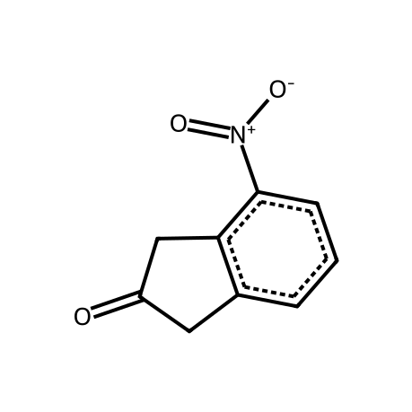 O=C1Cc2cccc([N+](=O)[O-])c2C1